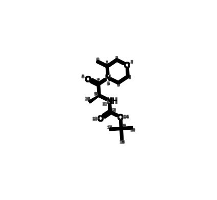 CC1COCCN1C(=O)[C@H](C)NC(=O)OC(C)(C)C